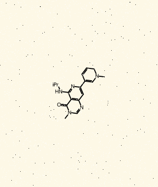 CC(C)Nc1nc(C2=CN(C)CC=C2)cc2ncn(C)c(=O)c12